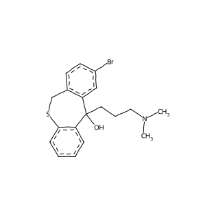 CN(C)CCCC1(O)c2cc(Br)ccc2CSc2ccccc21